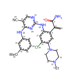 C=C(C(N)=O)c1cc(N2CCN(CC)CC2)c(Cl)cc1Nc1ncc(C#N)c(Nc2cccc(OC)c2)n1